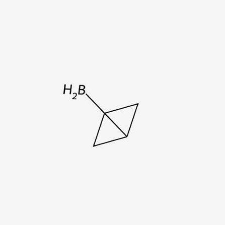 BC12CC1C2